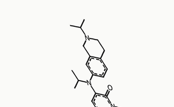 CC(C)N1CCc2ccc(N(c3cccn(C)c3=O)C(C)C)cc2C1